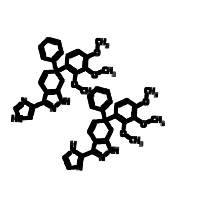 COc1ccc(C2(c3ccccc3)C=Cc3c(-c4c[nH]cn4)n[nH]c3C2)c(OC)c1OC.COc1ccc(C2(c3ccccc3)C=Cc3c(-c4ncc[nH]4)n[nH]c3C2)c(OC)c1OC